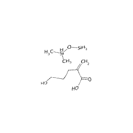 C=C(CCCO)C(=O)O.C[SiH](C)O[SiH3]